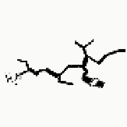 C=C=C/C(C/C(=C/C=C(/N)CC)CC)=C(\CCC)C(C)C